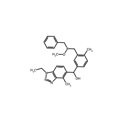 CCn1nnc2c(C)c(C(O)c3ccc(C)c(CB(Cc4ccccc4)OC)c3)ccc21